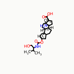 CC(C)C(CO)NC(=O)OC1CC[C@@]2(C)C(CC[C@@H]3[C@H]2CC[C@]2(C)C(C(=O)O)CC[C@@]32N)C1